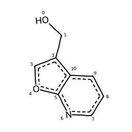 OCc1coc2ncccc12